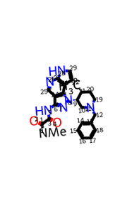 CNC(=O)C(=O)Nc1nn([C@H]2CN(Cc3ccccc3)CC[C@H]2C)c2c1cnc1[nH]ccc12